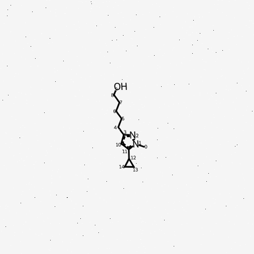 Cn1nc(CCCCCO)cc1C1CC1